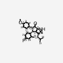 COc1ccc(N2C(=O)c3[nH]nc(CC(C)C)c3[C@H]2c2ccc(F)cc2C)cc1